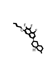 C/C=C/COc1cc2cc([C@@H]3CC[C@@H]4CC(C)CCC4C3)cc(F)c2c(F)c1F